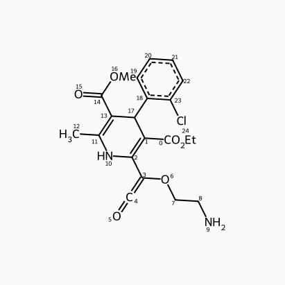 CCOC(=O)C1=C(C(=C=O)OCCN)NC(C)=C(C(=O)OC)C1c1ccccc1Cl